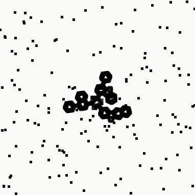 c1ccc(-c2ccc(-c3nc(-c4ccc5oc6cc7ccccc7cc6c5c4)nc(-c4ccc(-c5ccccc5)c5oc6ccccc6c45)n3)c3ccccc23)cc1